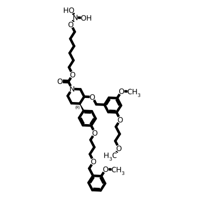 COCCCOc1cc(COC2CN(C(=O)OCCCCCCON(O)O)CC[C@@H]2c2ccc(OCCCOCc3ccccc3OC)cc2)cc(OC)c1